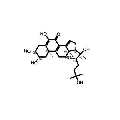 CC(C)(O)CC[C@@H](O)[C@](C)(O)[C@H]1CC=C2C3=C(CC[C@@]21C)[C@@]1(C)C[C@H](O)[C@H](O)CC1=C(O)C3=O